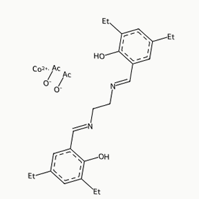 CC(=O)[O-].CC(=O)[O-].CCc1cc(C=NCCN=Cc2cc(CC)cc(CC)c2O)c(O)c(CC)c1.[Co+2]